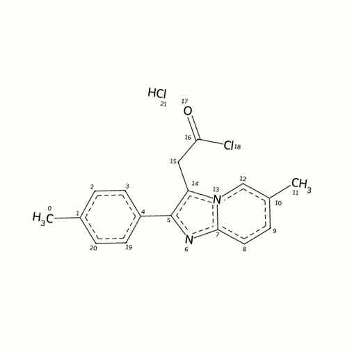 Cc1ccc(-c2nc3ccc(C)cn3c2CC(=O)Cl)cc1.Cl